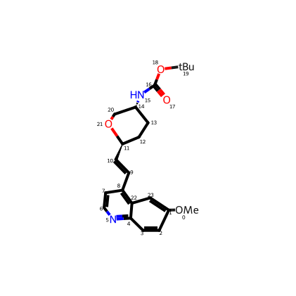 COc1ccc2nccc(C=C[C@@H]3CC[C@@H](NC(=O)OC(C)(C)C)CO3)c2c1